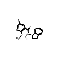 COc1ncc(F)cc1C(=O)N(C)[C@@H]1CCc2ccccc21